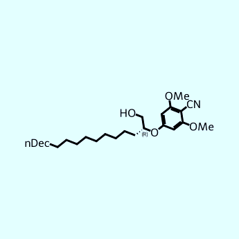 CCCCCCCCCCCCCCCCCCC[C@H](CO)Oc1cc(OC)c(C#N)c(OC)c1